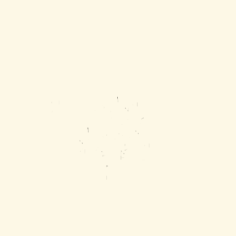 CC[C@@H](C)[C@@H](OC(=O)[C@H](Cc1ccc(OC)cc1)N(C)C)C(=O)N[C@@H](C(=O)N(C)[C@H](Cc1ccc(O)cc1)C(=O)N(C)[C@H](CCc1ccc(O)cc1)C(=O)OC)C(C)C